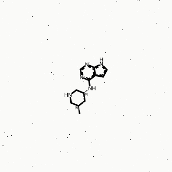 C[C@H]1CNC[C@H](Nc2ncnc3[nH]ccc23)C1